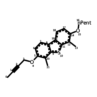 CC#CCOc1ccc2c(sc3c(C)c(OCCCCC)ccc32)c1C